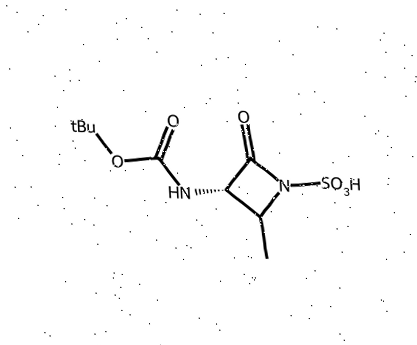 CC1[C@H](NC(=O)OC(C)(C)C)C(=O)N1S(=O)(=O)O